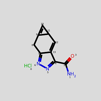 Cl.NC(=O)C1=NN=C2CC3=CC3C=C21